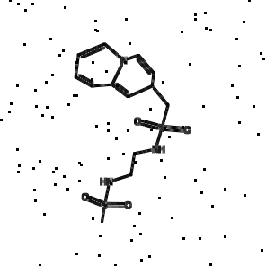 CS(=O)(=O)NCCNS(=O)(=O)CC1C=CN2C=CC=CC2=C1